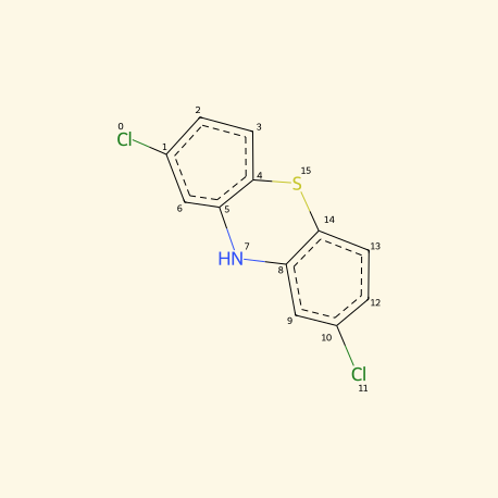 Clc1ccc2c(c1)Nc1cc(Cl)ccc1S2